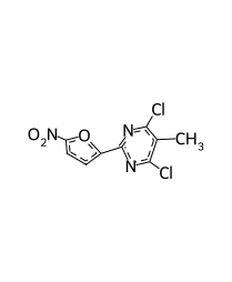 Cc1c(Cl)nc(-c2ccc([N+](=O)[O-])o2)nc1Cl